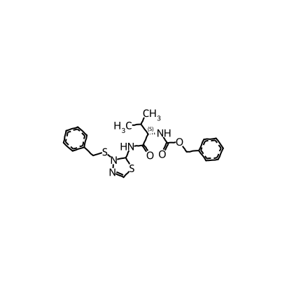 CC(C)[C@H](NC(=O)OCc1ccccc1)C(=O)NC1SC=NN1SCc1ccccc1